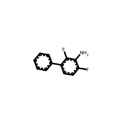 Nc1c(F)ccc(-c2ccccc2)c1F